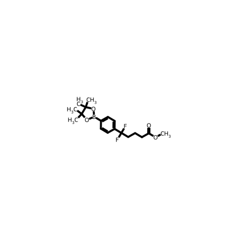 COC(=O)CCCC(F)(F)c1ccc(B2OC(C)(C)C(C)(C)O2)cc1